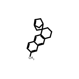 Cc1ccc2cc3c(cc2c1)CCCC31CC2=CCC1C2